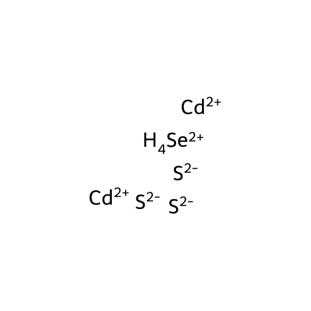 [Cd+2].[Cd+2].[S-2].[S-2].[S-2].[SeH4+2]